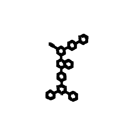 N#Cc1cc(-c2ccc(-c3ccccn3)cc2)cc(-c2ccc(-c3ccc(-c4nc(-c5ccccc5)nc(-c5ccccc5)n4)cc3)c3ccccc23)c1